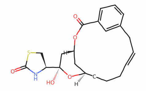 O=C1N[C@H]([C@@]2(O)C[C@H]3C[C@@H](CCC/C=C\Cc4cccc(c4)C(=O)O3)O2)CS1